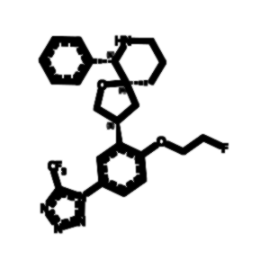 FCCOc1ccc(-n2nnnc2C(F)(F)F)cc1[C@H]1CO[C@]2(CCCN[C@H]2c2ccccc2)C1